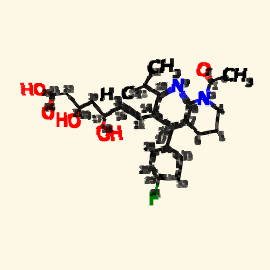 CC(=O)N1CCCc2c1nc(C(C)C)c(C=CC(O)C[C@@H](O)CC(=O)O)c2-c1ccc(F)cc1